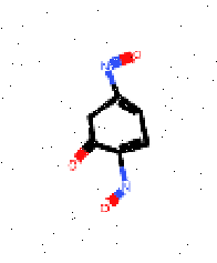 O=NC1=CC=C(N=O)C(=O)C1